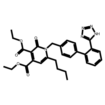 CCCCc1cc(C(=O)OCC)c(C(=O)OCC)c(=O)n1Cc1ccc(-c2ccccc2-c2nnn[nH]2)cc1